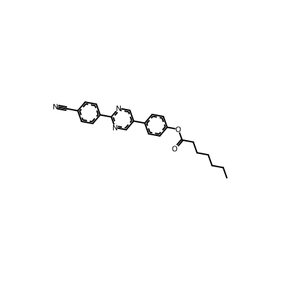 CCCCCCC(=O)Oc1ccc(-c2cnc(-c3ccc(C#N)cc3)nc2)cc1